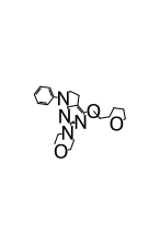 c1ccc(N2CCc3c(OCC4CCCO4)nc(N4CCOCC4)nc32)cc1